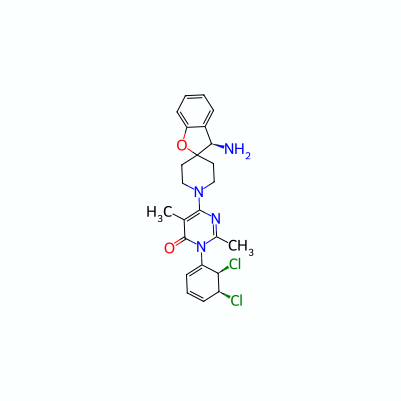 Cc1c(N2CCC3(CC2)Oc2ccccc2[C@H]3N)nc(C)n(C2=CC=C[C@H](Cl)[C@@H]2Cl)c1=O